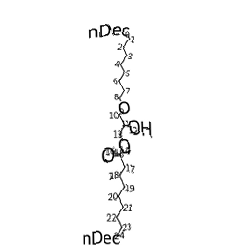 CCCCCCCCCCCCCCCCCCOCC(O)COC(=O)CCCCCCCCCCCCCCCCC